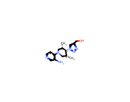 C[C@@H]1CN(c2ccncc2N)C[C@H](C)[C@@H]1n1cc(CO)nn1